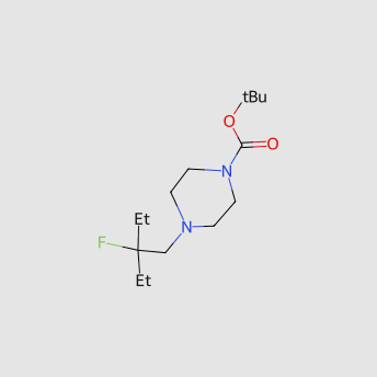 CCC(F)(CC)CN1CCN(C(=O)OC(C)(C)C)CC1